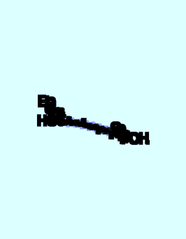 CCOOC1CC(C)(C)C(=C=C/C(C)=C/C=C/C(C)=C/C=C/C=C(C)/C=C/C=C(\C)C(=O)CC23OC2(C)CC(O)CC3(C)C)[C@](C)(O)C1